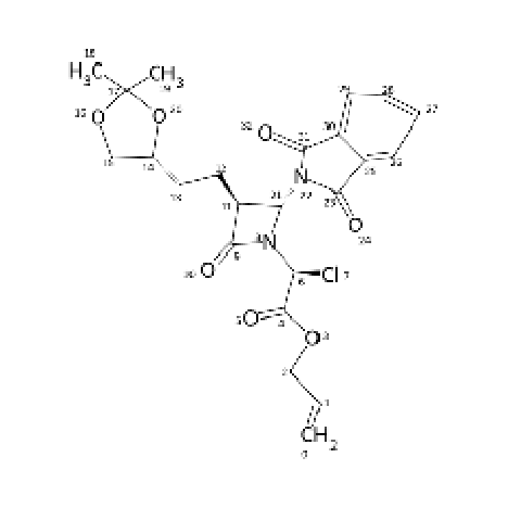 C=CCOC(=O)[C@H](Cl)N1C(=O)[C@@H](CC[C@@H]2COC(C)(C)O2)[C@@H]1N1C(=O)c2ccccc2C1=O